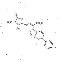 CC1=C(C)C(O/C=C(/C(=O)O)n2ccc3cc(-c4ccccc4)ccc32)OC1=O